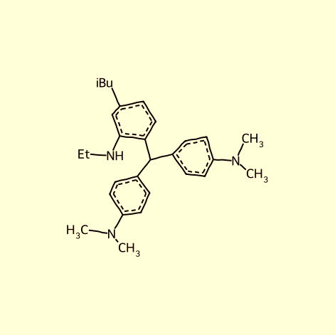 CCNc1cc(C(C)CC)ccc1C(c1ccc(N(C)C)cc1)c1ccc(N(C)C)cc1